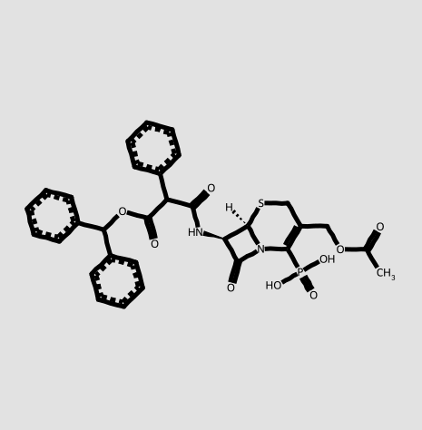 CC(=O)OCC1=C(P(=O)(O)O)N2C(=O)[C@@H](NC(=O)C(C(=O)OC(c3ccccc3)c3ccccc3)c3ccccc3)[C@H]2SC1